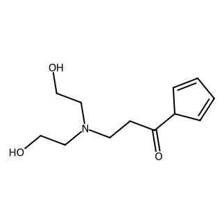 O=C(CCN(CCO)CCO)C1C=CC=C1